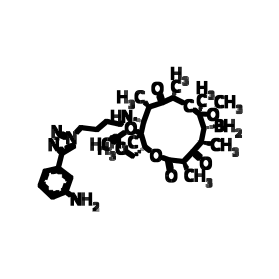 B[C@@H]1[C@@H](C)C(=O)[C@@H](C)C(=O)O[C@H](CC)[C@@](C)(OC#C)[C@H](NCCCCn2cc(-c3cccc(N)c3)nn2)[C@@H](C)C(=O)[C@H](C)C[C@@]1(C)OC